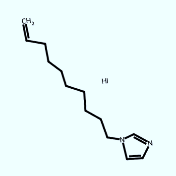 C=CCCCCCCCCn1ccnc1.I